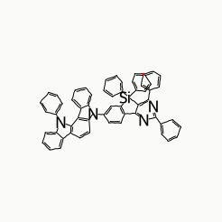 c1ccc(-c2nc(-c3ccccc3)c3c(n2)-c2ccc(-n4c5ccccc5c5c4ccc4c6ccccc6n(-c6ccccc6)c45)cc2[Si]3(c2ccccc2)c2ccccc2)cc1